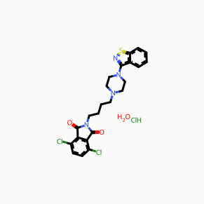 Cl.O.O=C1c2c(Cl)ccc(Cl)c2C(=O)N1CCCCN1CCN(c2nsc3ccccc23)CC1